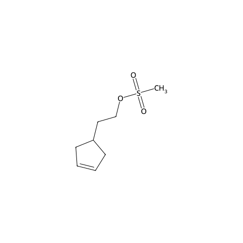 CS(=O)(=O)OCCC1CC=CC1